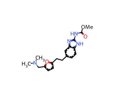 COC(=O)Nc1nc2cc(CCc3ccc(CN(C)C)o3)ccc2[nH]1